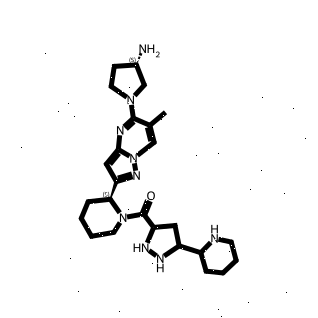 Cc1cn2nc([C@@H]3CCCCN3C(=O)C3CC(C4CCCCN4)NN3)cc2nc1N1CC[C@H](N)C1